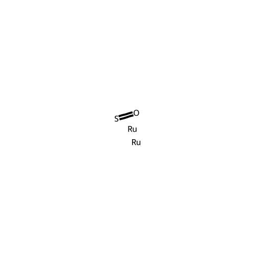 O=S.[Ru].[Ru]